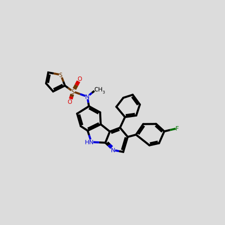 CN(c1ccc2[nH]c3ncc(-c4ccc(F)cc4)c(C4=CC=CCC4)c3c2c1)S(=O)(=O)c1cccs1